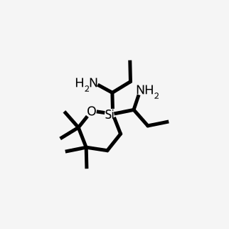 CCC(N)[Si]1(C(N)CC)CCC(C)(C)C(C)(C)O1